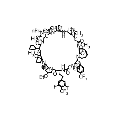 CCC[C@H]1C(=O)N[C@@H]([C@@H](C)CC)C(=O)N(C)CC(=O)N(C)[C@H]2C/C=C\CCN(C2=O)[C@@H](Cc2ccc(C(F)(F)F)cc2)C(=O)N(C)CC(=O)N[C@@H](CCc2cc(F)c(C(F)(F)F)c(F)c2)C(=O)N2C[C@H](OCC)C[C@H]2C(=O)NC2(CCC2)C(=O)N(C)[C@@H](C2CCCC2)C(=O)N(C)[C@H](C(=O)N(C)CCC)CC(=O)N1C